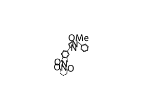 COc1cc(-c2ccc3c(c2)CN(N2C(=O)CCCC2=O)C3=O)nn1Cc1ccccc1